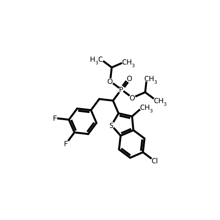 Cc1c(C(Cc2ccc(F)c(F)c2)P(=O)(OC(C)C)OC(C)C)sc2ccc(Cl)cc12